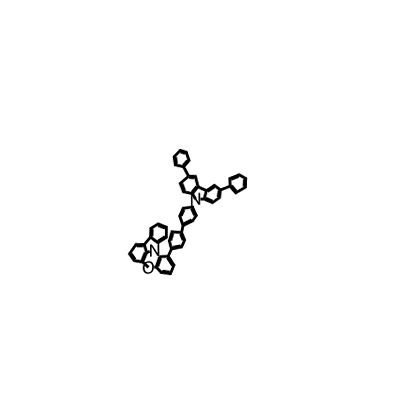 c1ccc(-c2ccc3c(c2)c2cc(-c4ccccc4)ccc2n3-c2ccc(-c3ccc(-c4cccc5c4-n4c6ccccc6c6cccc(c64)O5)cc3)cc2)cc1